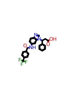 O=C(O)CC(c1ccccc1)n1cnc2ccc(NC(=O)c3ccc(C(F)(F)F)cc3)cc21